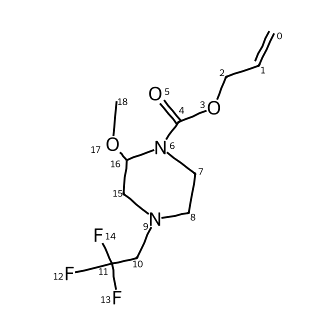 C=CCOC(=O)N1CCN(CC(F)(F)F)CC1OC